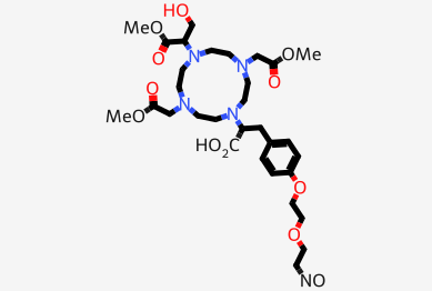 COC(=O)CN1CCN(C(Cc2ccc(OCCOCCN=O)cc2)C(=O)O)CCN(CC(=O)OC)CCN(C(CO)C(=O)OC)CC1